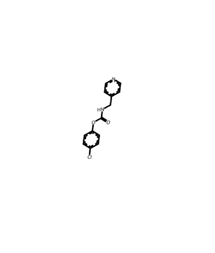 O=C(NCc1ccncc1)Oc1ccc(Cl)cc1